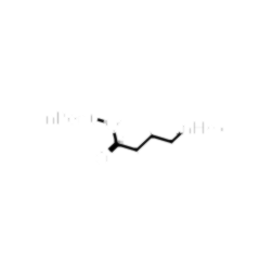 [CH2]CCCCCCCCC(=O)OCCCCC